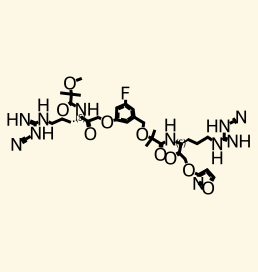 COC(C)(C)C(=O)N[C@@H](CCCNC(=N)NC#N)C(=O)COc1cc(F)cc(COC(C)(C)C(=O)N[C@@H](CCCNC(=N)NC#N)C(=O)COc2ccon2)c1